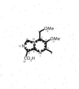 COCc1c(OC)c(C)nc2c(C(=O)O)ncn12